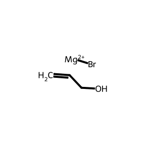 C=CCO.[Mg+2][Br]